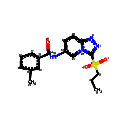 CCCS(=O)(=O)c1nnc2ccc(NC(=O)c3cccc(C)c3)cn12